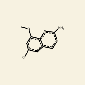 COc1cc(Cl)cc2cnc(N)nc12